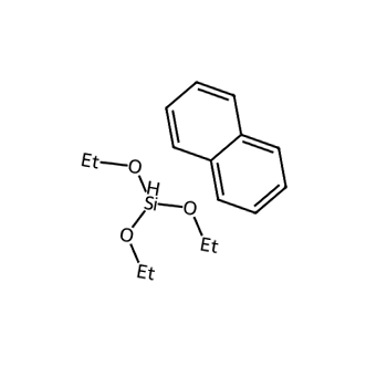 CCO[SiH](OCC)OCC.c1ccc2ccccc2c1